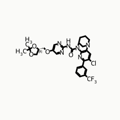 CC1(C)OC[C@@H](COc2cnc(NC(=O)N3c4nc(-c5cccc(C(F)(F)F)c5)c(Cl)cc4N4CCCC3C4)nc2)O1